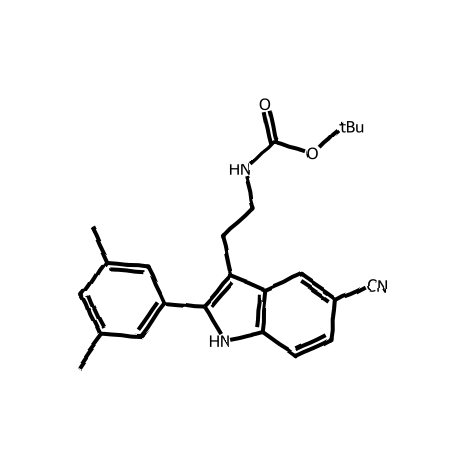 Cc1cc(C)cc(-c2[nH]c3ccc(C#N)cc3c2CCNC(=O)OC(C)(C)C)c1